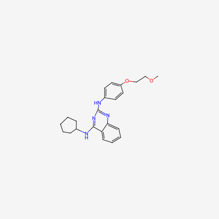 COCCOc1ccc(Nc2nc(NC3CCCCC3)c3ccccc3n2)cc1